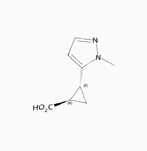 Cn1nccc1[C@@H]1C[C@H]1C(=O)O